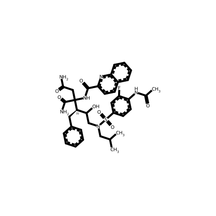 CC(=O)Nc1ccc(S(=O)(=O)N(CC(C)C)CC(O)[C@@H](Cc2ccccc2)C(CC(N)=O)(NC(=O)c2ccc3ccccc3n2)C(N)=O)cc1F